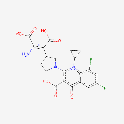 N/C(C(=O)O)=C(/C(=O)O)C1CCN(c2c(C(=O)O)c(=O)c3cc(F)cc(F)c3n2C2CC2)C1